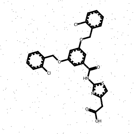 O=C(O)Cc1csc(NC(=O)c2cc(OCc3ccccc3Cl)cc(OCc3ccccc3Cl)c2)n1